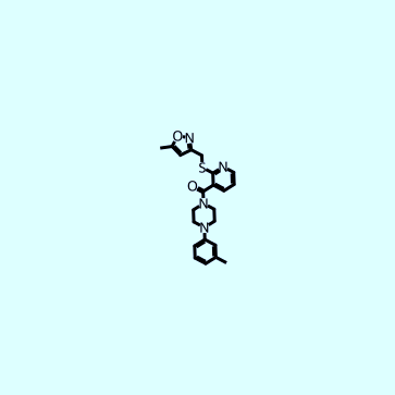 Cc1cccc(N2CCN(C(=O)c3cccnc3SCc3cc(C)on3)CC2)c1